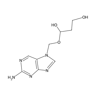 Nc1ncc2c(ncn2COC(O)CCO)n1